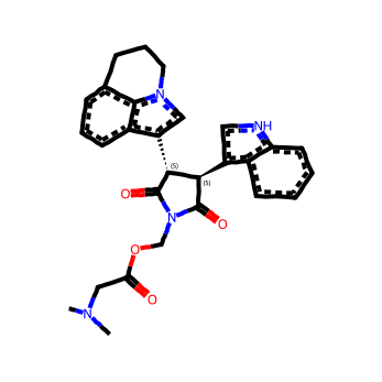 CN(C)CC(=O)OCN1C(=O)[C@H](c2c[nH]c3ccccc23)[C@@H](c2cn3c4c(cccc24)CCC3)C1=O